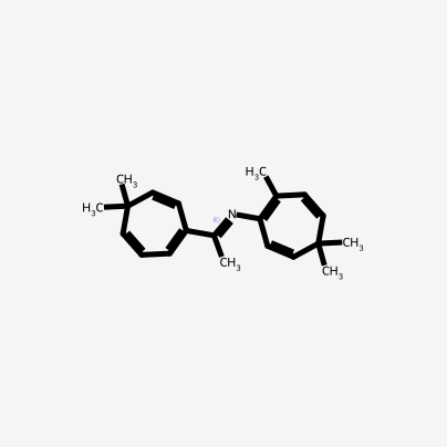 CC1=C(/N=C(\C)C2=CC=CC(C)(C)C=C2)C=CC(C)(C)C=C1